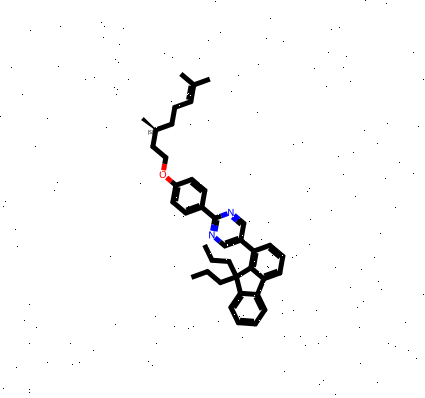 CCCC1(CCC)c2ccccc2-c2cccc(-c3cnc(-c4ccc(OCC[C@@H](C)CCC=C(C)C)cc4)nc3)c21